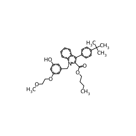 CCCCOC(=O)c1c(-c2ccc(C(C)(C)C)cc2)c2ccccc2n1Cc1cc(O)cc(OCCOC)c1